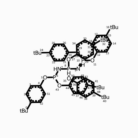 CC(C)(C)c1ccc(OP(N[PH](N=[PH](Oc2ccc(C(C)(C)C)cc2)Oc2ccc(C(C)(C)C)cc2)(Oc2ccc(C(C)(C)C)cc2)Oc2ccc(C(C)(C)C)cc2)Oc2ccc(C(C)(C)C)cc2)cc1